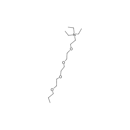 CCCOCCOCCOCCOCC[N+](CC)(CC)CC